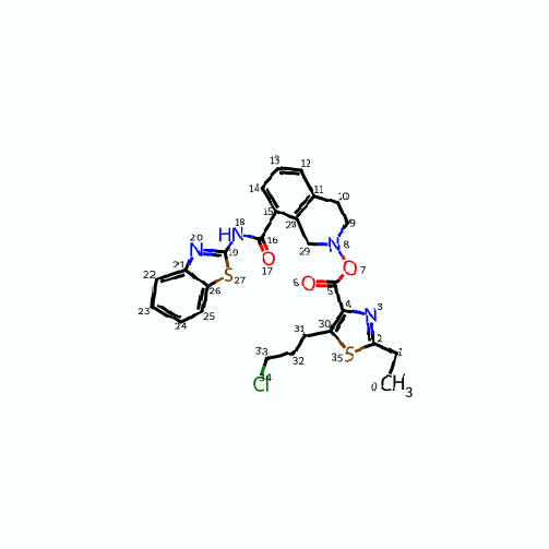 CCc1nc(C(=O)ON2CCc3cccc(C(=O)Nc4nc5ccccc5s4)c3C2)c(CCCCl)s1